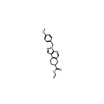 CCOC(=O)C1CCc2c(cnc3c2cnn3Cc2ccc(OC)cc2)C1